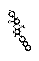 Cc1nc(Sc2ccnc(N3CCOCC3)c2Cl)c(N)nc1N1CCC2(CC1)Cc1ccccc1C2